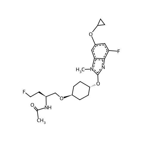 CC(=O)N[C@@H](CCF)CO[C@H]1CC[C@H](Oc2nc3c(F)cc(OC4CC4)cc3n2C)CC1